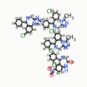 Cc1nnc2n1-c1ccc(Cl)cc1C(c1ccccc1)=NC2.Cc1nnc2n1-c1ccc(Cl)cc1C(c1ccccc1Cl)=NC2.Clc1ccc2c(c1)C(c1ccccc1)=NCc1nncn1-2.O=C1CN=C(c2ccccc2Cl)c2cc([N+](=O)[O-])ccc2N1